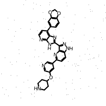 c1cc(-c2ccc3c(c2)OCO3)c2nc(-c3n[nH]c4ccc(-c5cncc(OC6CCNCC6)c5)nc34)[nH]c2n1